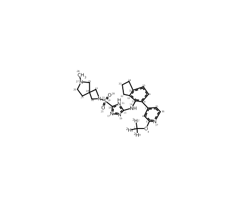 [2H]C([2H])([2H])Oc1cc(-c2ccc3c(c2Nc2nnc(S(=O)(=O)N4CC5(CCN(C)C5)C4)[nH]2)CCC3)ccn1